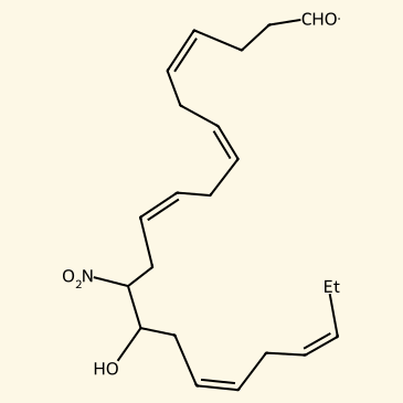 CC/C=C\C/C=C\CC(O)C(C/C=C\C/C=C\C/C=C\CC[C]=O)[N+](=O)[O-]